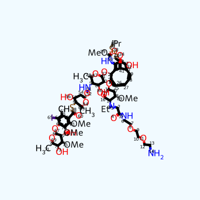 CCN(CC(=O)NCCOCCOCCN)[C@H]1CO[C@@H](O[C@H]2[C@H](O[C@H]3C#CC=CC#C[C@]4(O)CC(=O)C(NC(=O)OC)=C3/C4=C\CSSC(C)C)O[C@H](C)[C@@H](NO[C@H]3C[C@H](O)[C@H](SC(=O)c4c(C)c(I)c(O[C@@H]5O[C@@H](C)[C@H](O)[C@@H](OC)[C@H]5O)c(OC)c4OC)[C@@H](C)O3)[C@@H]2O)C[C@@H]1OC